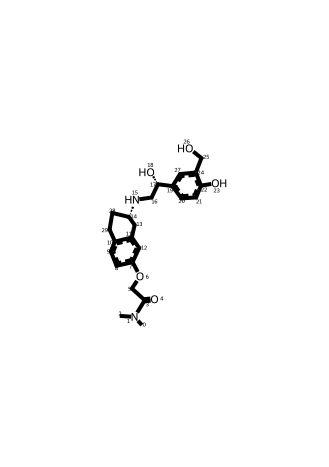 CN(C)C(=O)COc1ccc2c(c1)C[C@@H](NC[C@H](O)c1ccc(O)c(CO)c1)CC2